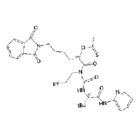 CC(=S)O[C@@H](CCCCN1C(=O)c2ccccc2C1=O)C(=O)N(CCC(C)C)C(=O)N[C@H](C(=O)Nc1ccccn1)C(C)(C)C